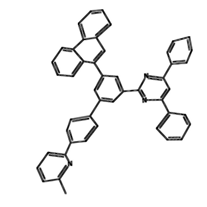 Cc1cccc(-c2ccc(-c3cc(-c4nc(-c5ccccc5)cc(-c5ccccc5)n4)cc(-c4cc5ccccc5c5ccccc45)c3)cc2)n1